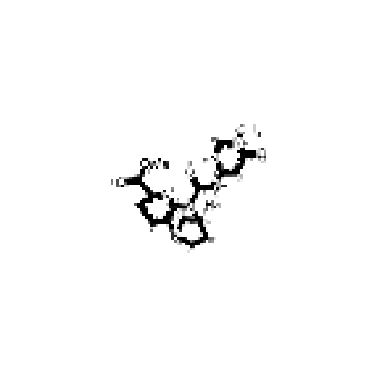 COC(=O)c1ccc2c(n1)N(C(=O)Nc1cc(=O)n(C)cn1)[C@H]1CCN2C1